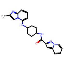 O=C(NC1CCC(Nc2cccc3nc(C(F)(F)F)cn23)CC1)c1cc2ccccn2n1